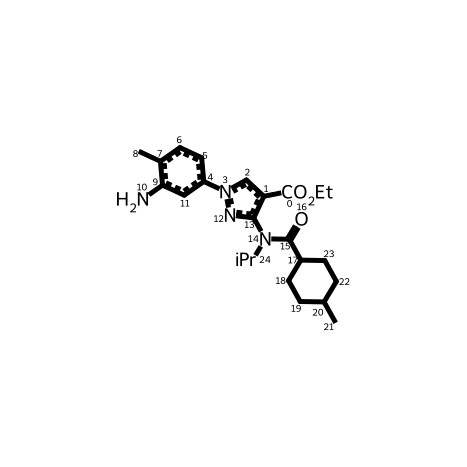 CCOC(=O)c1cn(-c2ccc(C)c(N)c2)nc1N(C(=O)C1CCC(C)CC1)C(C)C